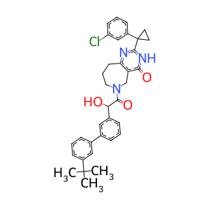 CC(C)(C)c1cccc(-c2cccc(C(O)C(=O)N3CCCc4nc(C5(c6cccc(Cl)c6)CC5)[nH]c(=O)c4C3)c2)c1